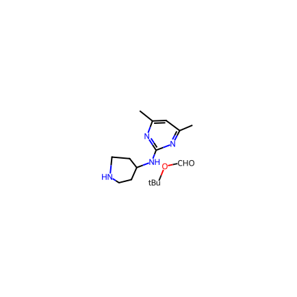 CC(C)(C)OC=O.Cc1cc(C)nc(NC2CCNCC2)n1